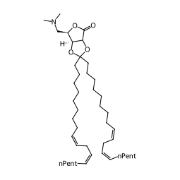 CCCCC/C=C\C/C=C\CCCCCCCCC1(CCCCCCCC/C=C\C/C=C\CCCCC)OC2C(=O)O[C@H](CN(C)C)[C@@H]2O1